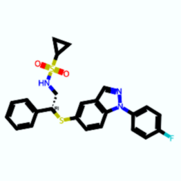 O=S(=O)(NC[C@H](Sc1ccc2c(cnn2-c2ccc(F)cc2)c1)c1ccccc1)C1CC1